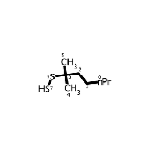 CCCCCC(C)(C)SS